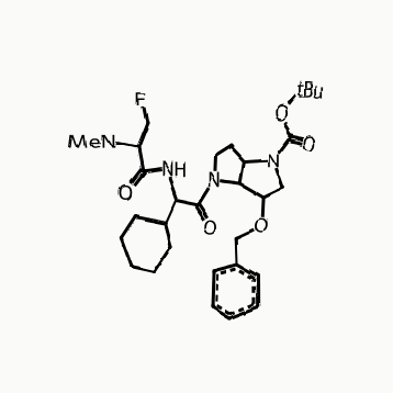 CNC(CF)C(=O)NC(C(=O)N1CCC2C1C(OCc1ccccc1)CN2C(=O)OC(C)(C)C)C1CCCCC1